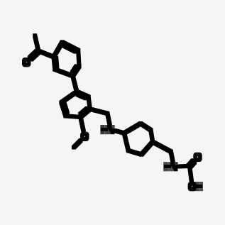 COc1ccc(-c2cccc(C(C)=O)c2)cc1CNC1CCC(CNC(=O)O)CC1